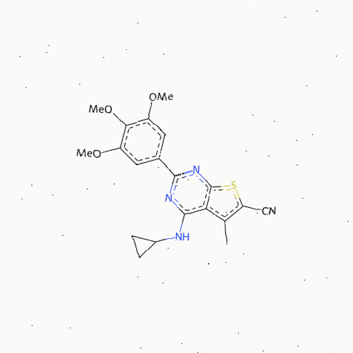 COc1cc(-c2nc(NC3CC3)c3c(C)c(C#N)sc3n2)cc(OC)c1OC